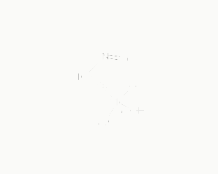 O=NO.[O-][Cl+3]([O-])([O-])O